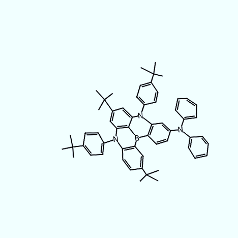 CC(C)(C)c1ccc(N2c3ccc(C(C)(C)C)cc3B3c4ccc(N(c5ccccc5)c5ccccc5)cc4N(c4ccc(C(C)(C)C)cc4)c4cc(C(C)(C)C)cc2c43)cc1